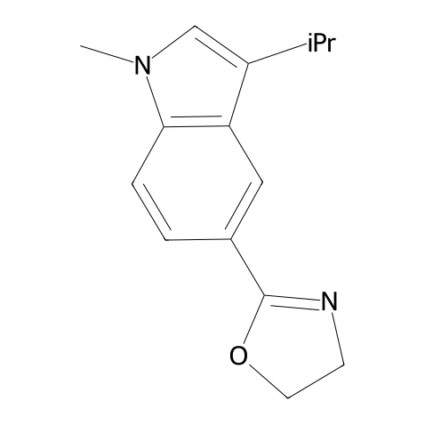 CC(C)c1cn(C)c2ccc(C3=NCCO3)cc12